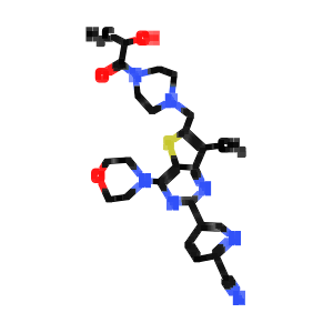 Cc1c(CN2CCN(C(=O)C(C)O)CC2)sc2c(N3CCOCC3)nc(-c3ccc(C#N)nc3)nc12